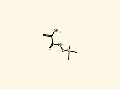 C=C([SiH3])C(=O)NO[Si](C)(C)C